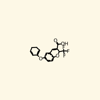 O=C(O)C1=Cc2cc(OC3=CCCC=C3)ccc2OC1C(F)(F)F